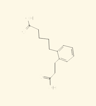 O=C(O)CCCCc1ccccc1CCC(=O)O